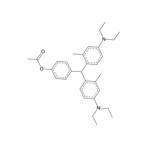 CCN(CC)c1ccc(C(c2ccc(OC(C)=O)cc2)c2ccc(N(CC)CC)cc2C)c(C)c1